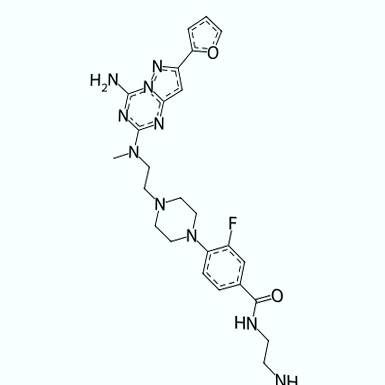 CN(CCN1CCN(c2ccc(C(=O)NCCN)cc2F)CC1)c1nc(N)n2nc(-c3ccco3)cc2n1